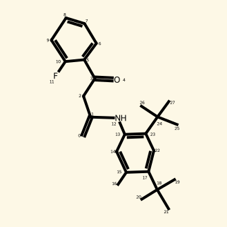 C=C(CC(=O)c1ccccc1F)Nc1cc(C)c(C(C)(C)C)cc1C(C)(C)C